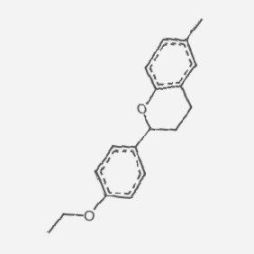 CCOc1ccc(C2CCc3cc(C)ccc3O2)cc1